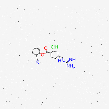 Cl.N#Cc1ccccc1OC(=O)C1CCC(CNC(=N)N)CC1